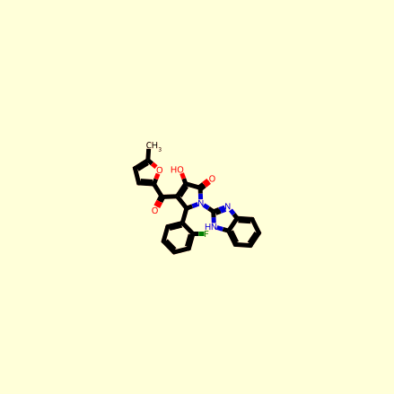 Cc1ccc(C(=O)C2=C(O)C(=O)N(c3nc4ccccc4[nH]3)C2c2ccccc2F)o1